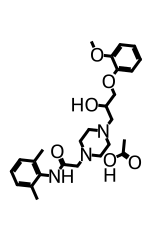 CC(=O)O.COc1ccccc1OCC(O)CN1CCN(CC(=O)Nc2c(C)cccc2C)CC1